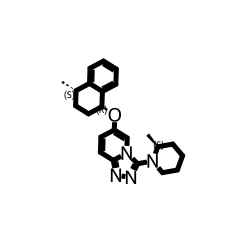 C[C@H]1CC[C@@H](Oc2ccc3nnc(N4CCCC[C@@H]4C)n3c2)c2ccccc21